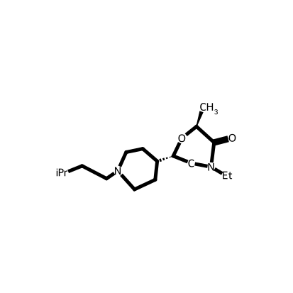 CCN1C[C@H](C2CCN(CCC(C)C)CC2)O[C@@H](C)C1=O